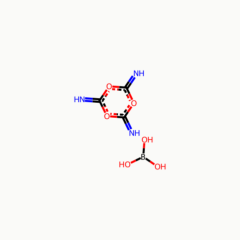 N=c1oc(=N)oc(=N)o1.OB(O)O